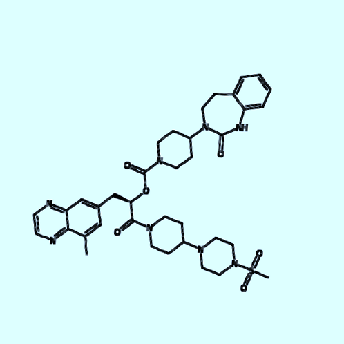 Cc1cc(C[C@@H](OC(=O)N2CCC(N3CCc4ccccc4NC3=O)CC2)C(=O)N2CCC(N3CCN(S(C)(=O)=O)CC3)CC2)cc2nccnc12